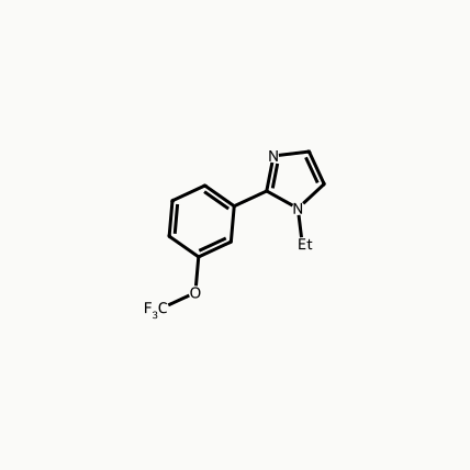 CCn1ccnc1-c1cccc(OC(F)(F)F)c1